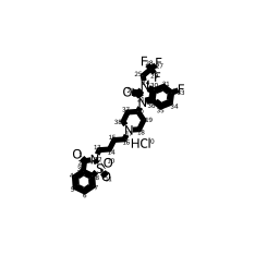 Cl.O=C1c2ccccc2S(=O)(=O)N1CCCCN1CCC(n2c(=O)n(CC(F)(F)F)c3cc(F)ccc32)CC1